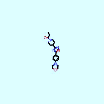 CCC(=O)N1CCC(c2noc(-c3ccc(N4CCOCC4)cc3)n2)CC1